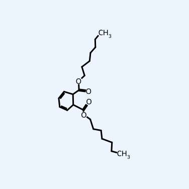 CCCCCCCOC(=O)C1C=CC=CC1C(=O)OCCCCCCC